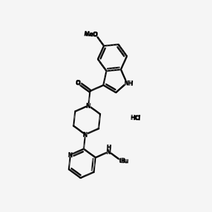 COc1ccc2[nH]cc(C(=O)N3CCN(c4ncccc4NC(C)(C)C)CC3)c2c1.Cl